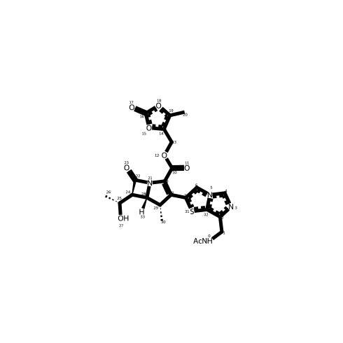 CC(=O)NCc1ncn2cc(C3=C(C(=O)OCc4oc(=O)oc4C)N4C(=O)[C@H]([C@@H](C)O)[C@H]4[C@H]3C)sc12